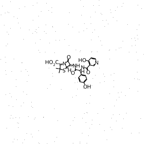 CC1(C)S[C@@H]2[C@H](NC(=O)C(NC(=O)c3cnccc3O)c3ccc(O)cc3)C(=O)N2[C@H]1C(=O)O